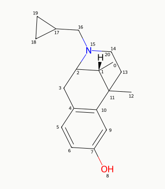 C[C@H]1C2Cc3ccc(O)cc3C1(C)CCN2CC1CC1